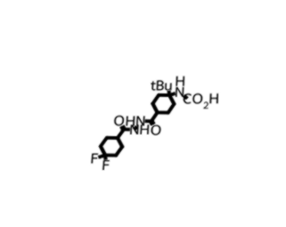 CC(C)(C)C1(NC(=O)O)CCC(C(=O)NNC(=O)C2CCC(F)(F)CC2)CC1